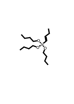 CCC=C[Si](OCCCC)(OCCCC)OCCCC